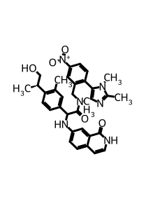 Cc1cc(C(Nc2ccc3cc[nH]c(=O)c3c2)C(=O)N(C)Cc2cc([N+](=O)[O-])ccc2-c2cnc(C)n2C)ccc1[C@@H](C)CO